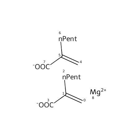 C=C(CCCCC)C(=O)[O-].C=C(CCCCC)C(=O)[O-].[Mg+2]